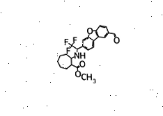 COC(=O)C1CCCCCC1NC(c1ccc2c(c1)oc1ccc(C=O)cc12)C(F)(F)F